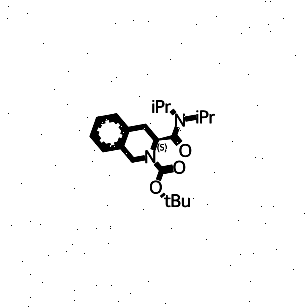 CC(C)N(C(=O)[C@@H]1Cc2ccccc2CN1C(=O)OC(C)(C)C)C(C)C